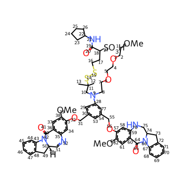 COCCOCCOCCN(CC(C)(C)SSCCC(C(=O)NC1CCCC1)S(=O)(=O)O)c1cc(COc2cc3c(cc2OC)C(=O)N2c4ccccc4C[C@H]2C=N3)cc(COc2cc3c(cc2OC)C(=O)N2c4ccccc4CC2CN3)c1